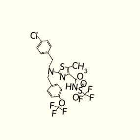 Cc1sc(N(CCc2ccc(Cl)cc2)Cc2ccc(OC(F)(F)F)cc2)nc1C(=O)NS(=O)(=O)C(F)(F)F